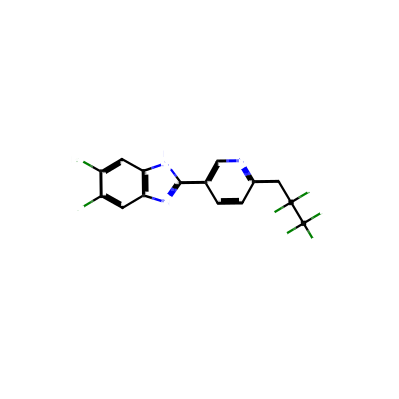 FC(F)(F)C(F)(F)Cc1ccc(-c2nc3cc(Br)c(Br)cc3[nH]2)cn1